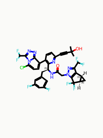 CC(C)(O)C#Cc1ccc(-c2ccc(Cl)n3c(C(F)F)nnc23)c([C@H](Cc2cc(F)cc(F)c2)NC(=O)Cn2nc(C(F)F)c3c2C(F)(F)[C@@H]2C[C@H]32)n1